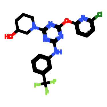 OC1CCCN(c2nc(Nc3cccc(C(F)(F)F)c3)nc(Oc3cccc(Cl)n3)n2)C1